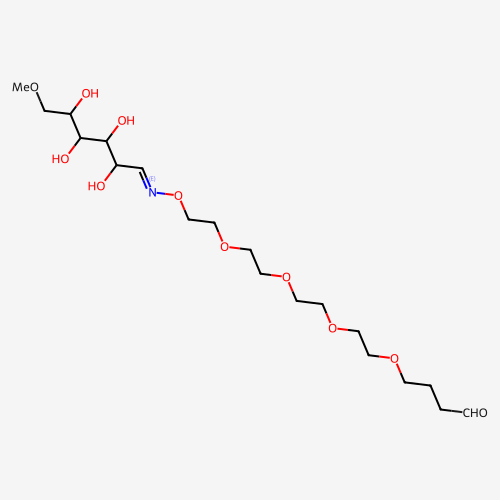 COCC(O)C(O)C(O)C(O)/C=N/OCCOCCOCCOCCOCCCC=O